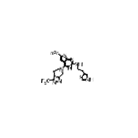 CCCc1cc2c(N3CCn4c(nnc4C(F)(F)F)C3)nc(NCCc3c[nH]cn3)nc2s1